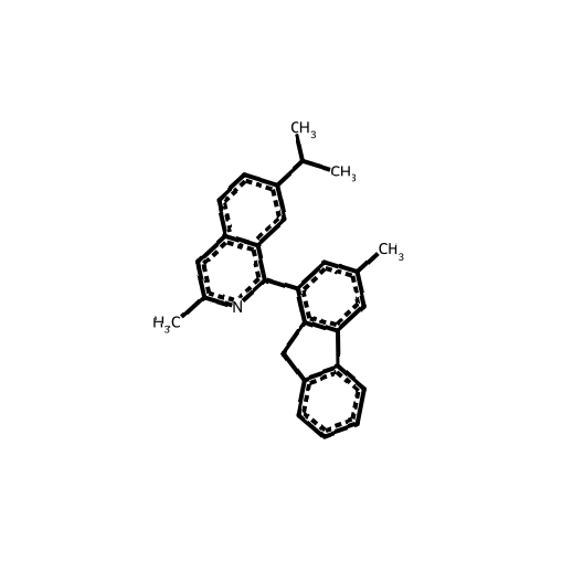 Cc1cc2c(c(-c3nc(C)cc4ccc(C(C)C)cc34)c1)Cc1ccccc1-2